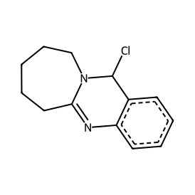 ClC1c2ccccc2N=C2CCCCCN21